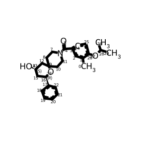 Cc1cc(C(=O)N2CCC3(CC2)C[C@@H](O)C[C@H](c2ccccc2)O3)ccc1OC(C)C